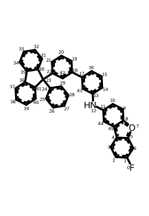 Fc1ccc2c(c1)oc1ccc(Nc3cccc(-c4cccc(C5(c6ccccc6)c6ccccc6-c6ccccc65)c4)c3)cc12